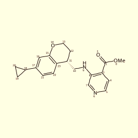 COC(=O)c1ccncc1NC[C@H]1CCOc2cc(C3CC3)ccc21